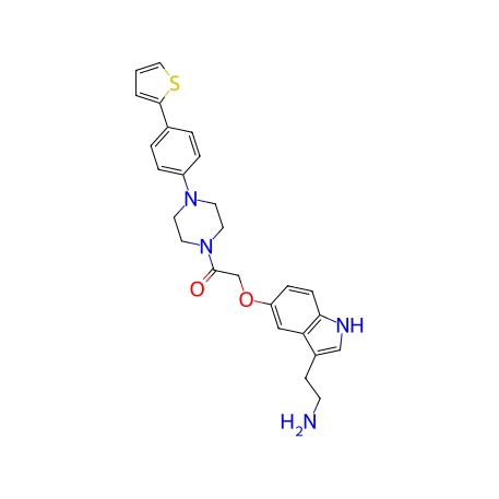 NCCc1c[nH]c2ccc(OCC(=O)N3CCN(c4ccc(-c5cccs5)cc4)CC3)cc12